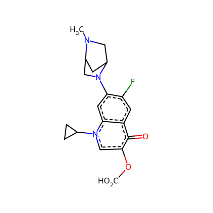 CN1CC2CC1CN2c1cc2c(cc1F)c(=O)c(OC(=O)O)cn2C1CC1